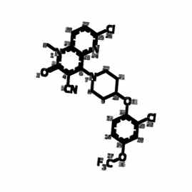 Cn1c(=O)c(C#N)c(N2CCC(Oc3ccc(OC(F)(F)F)cc3Cl)CC2)c2nc(Cl)ccc21